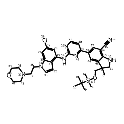 CC1(CO[Si](C)(C)C(C)(C)C)CNc2c(C#N)cc(-c3ccnc(Nc4cc(Cl)cc5c4ccn5CCN4CCOCC4)n3)cc21